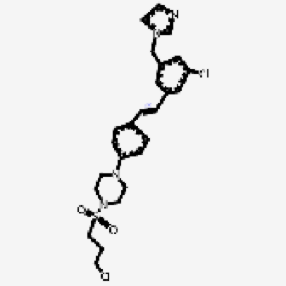 O=S(=O)(CCCCl)N1CCN(c2ccc(/C=C/c3cc(Cl)cc(Cn4ccnc4)c3)cc2)CC1